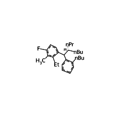 CCCCc1ccccc1C(c1ccc(F)c(C)c1CC)[C@H](CCC)CCCC